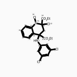 CCOC(=O)C1(Nc2cc(Cl)cc(Cl)c2)CC(Cl)(C(=O)OCC)N(Cl)c2ccccc21